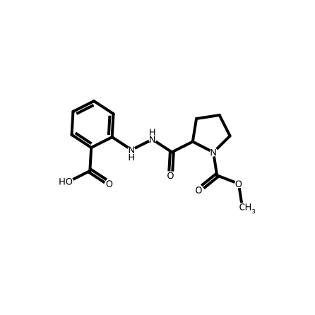 COC(=O)N1CCCC1C(=O)NNc1ccccc1C(=O)O